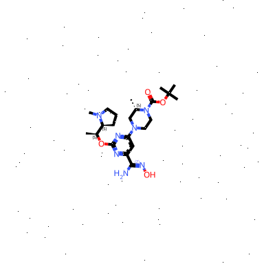 C[C@H](Oc1nc(/C(N)=N/O)cc(N2CCN(C(=O)OC(C)(C)C)[C@@H](C)C2)n1)[C@@H]1CCCN1C